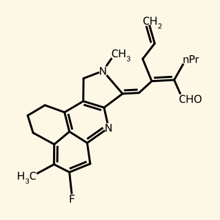 C=CCC(/C=C1/c2nc3cc(F)c(C)c4c3c(c2CN1C)CCC4)=C(/C=O)CCC